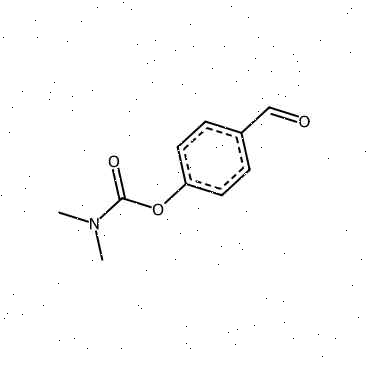 CN(C)C(=O)Oc1ccc(C=O)cc1